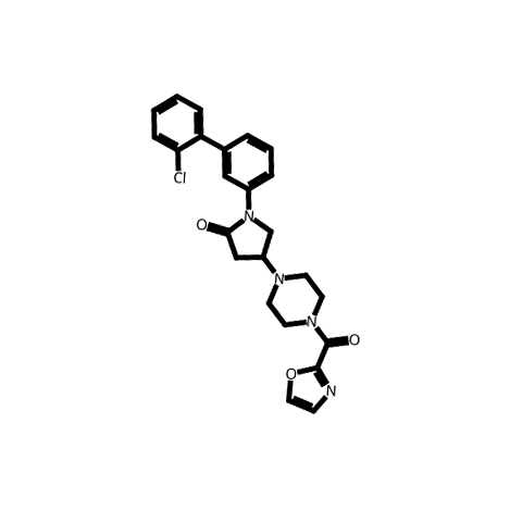 O=C(c1ncco1)N1CCN(C2CC(=O)N(c3cccc(-c4ccccc4Cl)c3)C2)CC1